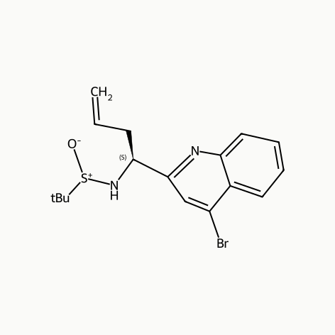 C=CC[C@H](N[S+]([O-])C(C)(C)C)c1cc(Br)c2ccccc2n1